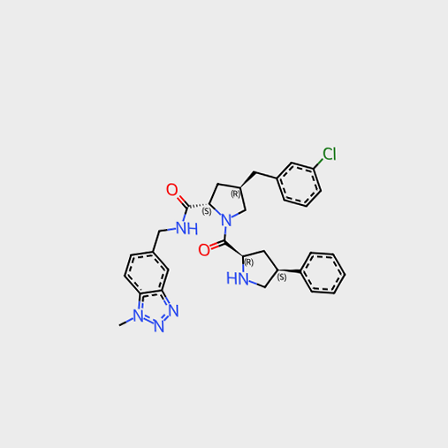 Cn1nnc2cc(CNC(=O)[C@@H]3C[C@@H](Cc4cccc(Cl)c4)CN3C(=O)[C@H]3C[C@@H](c4ccccc4)CN3)ccc21